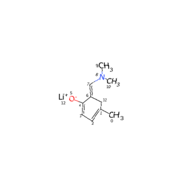 CC1=CC=C([O-])C(=CN(C)C)C1.[Li+]